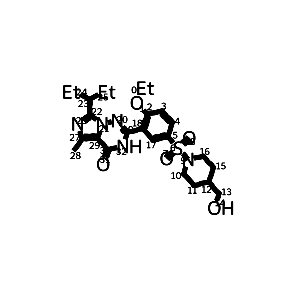 CCOc1ccc(S(=O)(=O)N2CCC(CO)CC2)cc1-c1nn2c(C(CC)CC)nc(C)c2c(=O)[nH]1